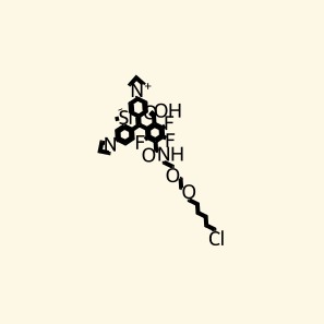 C[Si]1(C)C2=CC(=[N+]3CCC3)C=CC2=C(c2c(F)c(C(=O)NCCOCCOCCCCCCCl)c(F)c(F)c2C(=O)O)c2ccc(N3CCC3)cc21